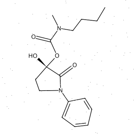 CCCCN(C)C(=O)O[C@@]1(O)CCN(c2ccccc2)C1=O